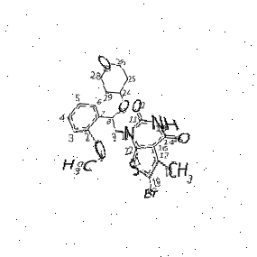 COc1ccccc1C(Cn1c(=O)[nH]c(=O)c2c(C)c(Br)sc21)OC1CCOCC1